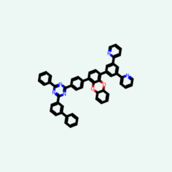 C1=CC2Oc3c(-c4ccc(-c5nc(-c6ccccc6)nc(-c6cccc(-c7ccccc7)c6)n5)cc4)ccc(-c4cc(-c5ccccn5)cc(-c5ccccn5)c4)c3OC2C=C1